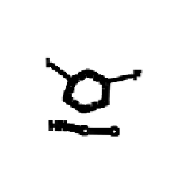 Fc1cccc(I)c1.N=C=O